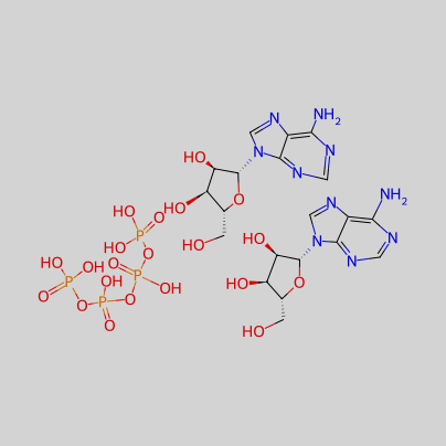 Nc1ncnc2c1ncn2[C@@H]1O[C@H](CO)[C@@H](O)[C@H]1O.Nc1ncnc2c1ncn2[C@@H]1O[C@H](CO)[C@@H](O)[C@H]1O.O=P(O)(O)OP(=O)(O)OP(=O)(O)OP(=O)(O)O